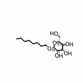 CCCCCCCCO[C@@H]1O[C@H](CO)[C@@H](O)[C@H](O)[C@@H]1O